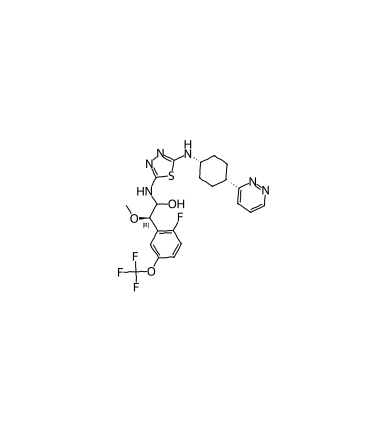 CO[C@H](c1cc(OC(F)(F)F)ccc1F)C(O)Nc1nnc(N[C@H]2CC[C@@H](c3cccnn3)CC2)s1